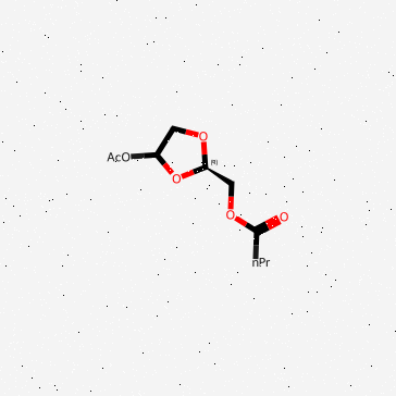 CCCC(=O)OC[C@@H]1OCC(OC(C)=O)O1